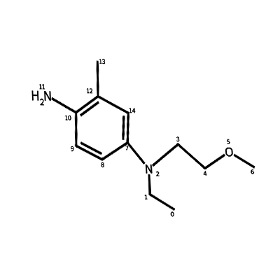 CCN(CCOC)c1ccc(N)c(C)c1